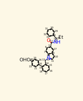 CC[C@H](NC(=O)c1ccc2c(ccn2Cc2ccccc2-c2ccc(C=O)cc2)c1)c1ccccc1